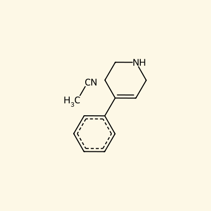 C1=C(c2ccccc2)CCNC1.CC#N